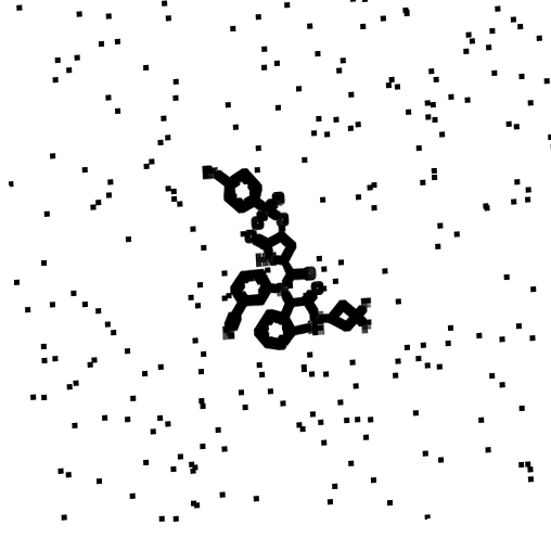 N#Cc1cccc(N(C(=O)[C@@H]2C[C@@H](OS(=O)(=O)c3ccc(Br)cc3)C(=O)N2)C(C(=O)NC2CC(F)(F)C2)c2ccccc2I)c1